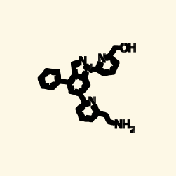 NCCc1cccc(-c2cc(-c3ccccc3)c3cnn(-c4cccc(CO)n4)c3c2)n1